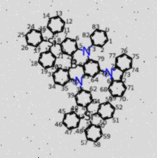 c1ccc(N2c3ccc([Si](c4ccccc4)(c4ccccc4)c4ccccc4)cc3B3c4ccccc4N(c4ccc([Si](c5ccccc5)(c5ccccc5)c5ccccc5)cc4)c4cc(-n5c6ccccc6c6ccccc65)cc2c43)cc1